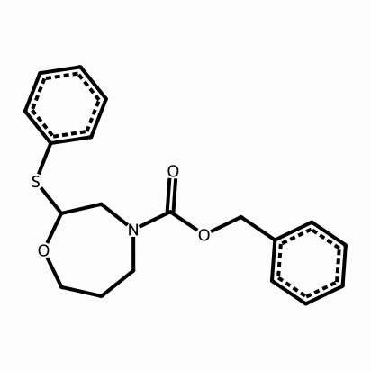 O=C(OCc1ccccc1)N1CCCOC(Sc2ccccc2)C1